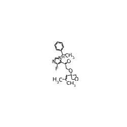 CC(C)=CC1(OCC(=O)c2c(F)ncn2[C@H](C)c2ccccc2)COC1